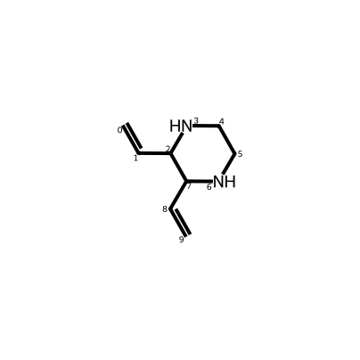 C=CC1NCCNC1C=C